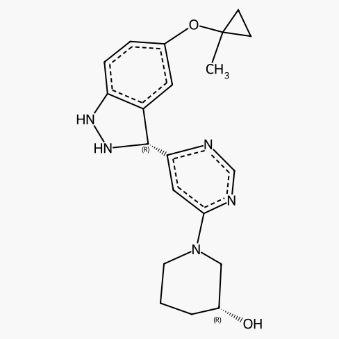 CC1(Oc2ccc3c(c2)[C@H](c2cc(N4CCC[C@@H](O)C4)ncn2)NN3)CC1